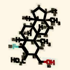 CC[C@H]1CC[C@H]2[C@@H]3CC[C@H]4C(F)=C(C(=O)O)C(CO)C[C@]4(C)[C@H]3CC[C@]12C